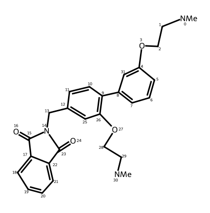 CNCCOc1cccc(-c2ccc(CN3C(=O)c4ccccc4C3=O)cc2OCCNC)c1